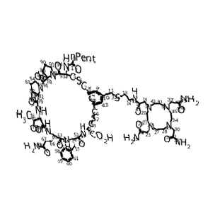 CCCCCC(=O)N[C@H]1CSCc2cc(CSCCNC(=O)CN3CCN(CC(N)=O)CCN(CC(N)=O)CCN(CC(N)=O)CC3)cc(c2)CSC[C@@H](C(=O)O)NC(=O)[C@H](Cc2ccccc2)NC(=O)[C@H](CCC(N)=O)NC(=O)[C@H]([C@@H](C)O)NC(=O)[C@@H]2CCCN2C(=O)[C@@H]2CCCN2C1=O